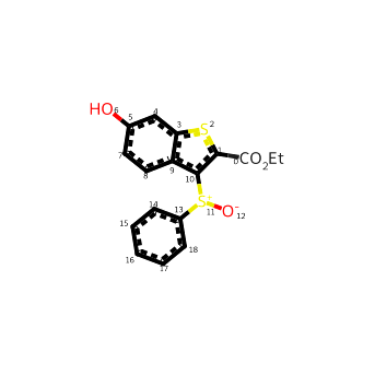 CCOC(=O)c1sc2cc(O)ccc2c1[S+]([O-])c1ccccc1